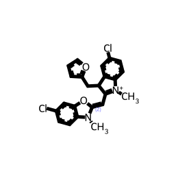 CN1/C(=C/C2=[N+](C)c3ccc(Cl)cc3C2Cc2ccco2)Oc2cc(Cl)ccc21